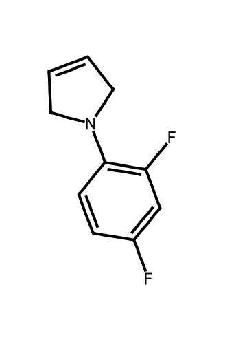 Fc1ccc(N2CC=CC2)c(F)c1